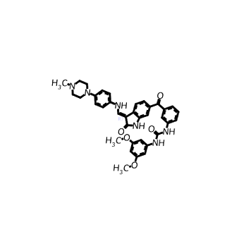 COc1cc(NC(=O)Nc2cccc(C(=O)c3ccc4c(c3)NC(=O)/C4=C/Nc3ccc(N4CCN(C)CC4)cc3)c2)cc(OC)c1